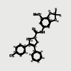 COc1cc(NC(=O)N2CC(c3ccccc3)=C(c3ccc(Cl)cc3)N2)cc2c1OC(C)(C)O2